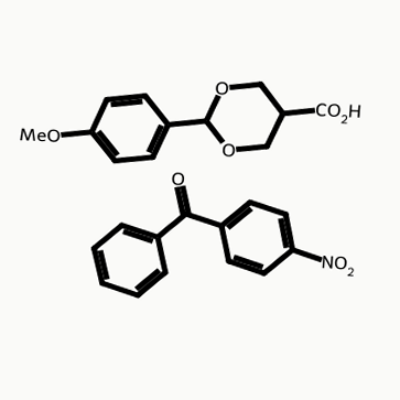 COc1ccc(C2OCC(C(=O)O)CO2)cc1.O=C(c1ccccc1)c1ccc([N+](=O)[O-])cc1